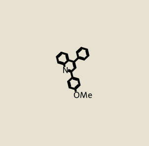 COc1ccc(-c2cc(-c3ccccc3)c3ccccc3n2)cc1